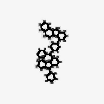 c1ccc(N(c2ccc(-c3cccc4sc5c6ccccc6ccc5c34)cc2)c2cccc3c2c2ccccc2n3-c2ccccc2)cc1